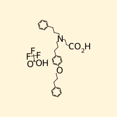 O=C(O)C(F)(F)F.O=C(O)CCN(CCCc1ccccc1)CCCc1ccc(OCCCc2ccccc2)cc1